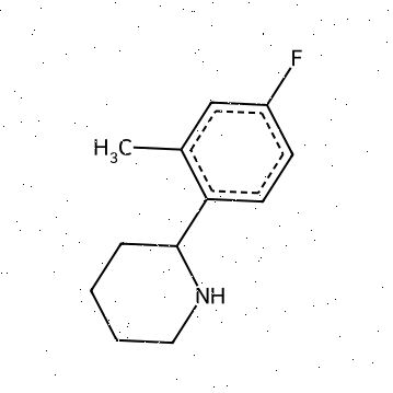 Cc1cc(F)ccc1C1CCCCN1